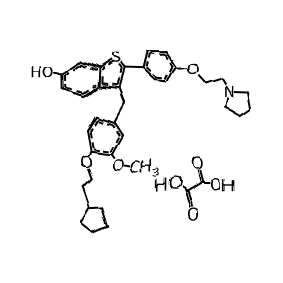 COc1cc(Cc2c(-c3ccc(OCCN4CCCC4)cc3)sc3cc(O)ccc23)ccc1OCCC1CCCC1.O=C(O)C(=O)O